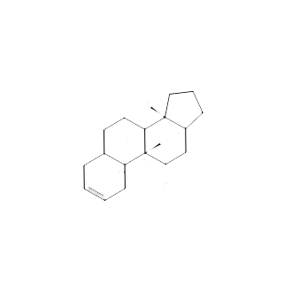 C[C@@]12CCC[C@H]1[C@@H]1CCC3CC=CC[C@]3(C)[C@H]1[C@@H](F)C2